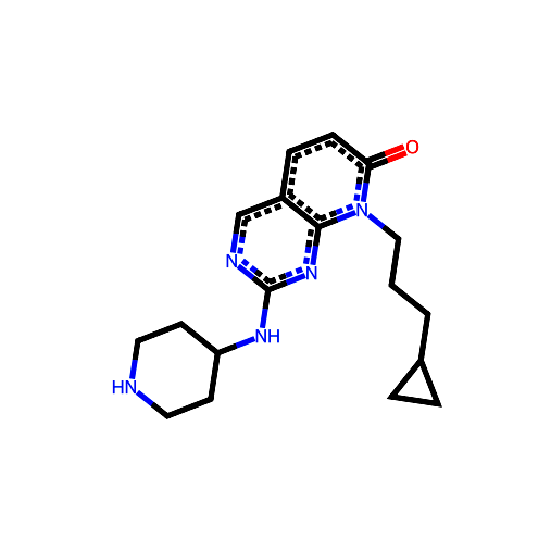 O=c1ccc2cnc(NC3CCNCC3)nc2n1CCCC1CC1